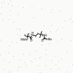 CCCCC(=O)NC(C)(C)CCNC(=O)C(C)(C)NC